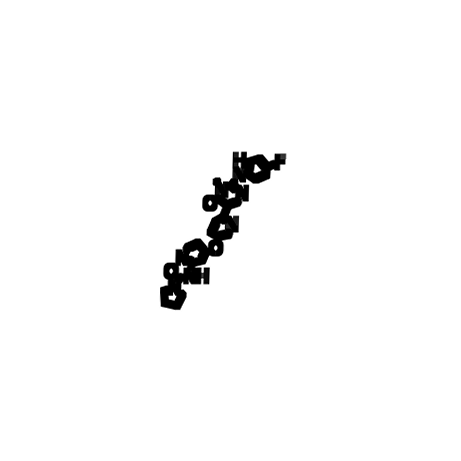 Cn1c(Nc2ccc(F)cc2)ncc(-c2ccc(Oc3ccnc(NC(=O)N4CCCC4)c3)cn2)c1=O